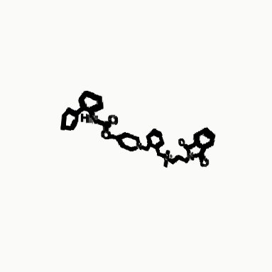 C[N+](C)(CCCN1C(=O)c2ccccc2C1=O)Cc1ccccc1CN1CCC(OC(=O)Nc2ccccc2-c2ccccc2)CC1